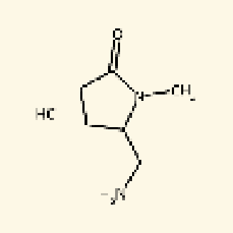 CN1C(=O)CCC1CN.Cl